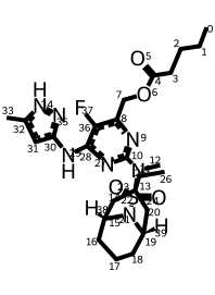 CCCCC(=O)OCc1nc(N(C)C2C[C@H]3CCC[C@@H](C2)N3S(=O)(=O)CC)nc(Nc2cc(C)[nH]n2)c1F